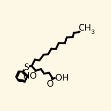 CCCCCCCCCCCCCC(Sc1ccccc1)C(O)CCCC(=O)O